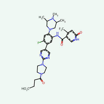 CC1CN(c2cc(F)c(-c3cnc(N4CCN(C(=O)CCC(=O)O)CC4)nc3)cc2NC(=O)c2c[nH]c(=O)cc2C(F)(F)F)CC(C)N1C